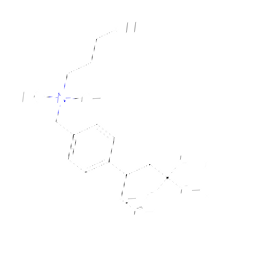 CCCC[N+](C)(C)Cc1ccc(C(CC)CC(C)(C)C)cc1